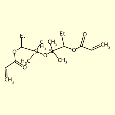 C=CC(=O)OC(CC)[Si](C)(C)O[Si](C)(C)C(CC)OC(=O)C=C